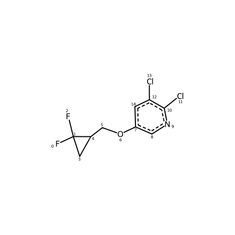 FC1(F)CC1COc1cnc(Cl)c(Cl)c1